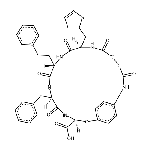 O=C1CCC(=O)N[C@H](CC2CC=CS2)C(=O)N[C@@H](CCc2ccccc2)C(=O)N[C@H](Cc2ccccc2)C(=O)N[C@H](C(=O)O)Cc2ccc(cc2)N1